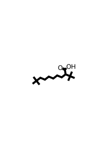 CC(C)(C)CCCCCCC(C(=O)O)C(C)(C)C